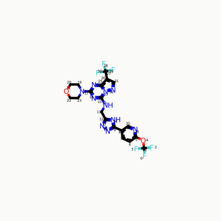 FC(F)(F)Oc1ccc(-c2nnc(CNc3nc(N4CCOCC4)nc4c(C(F)(F)F)cnn34)[nH]2)cn1